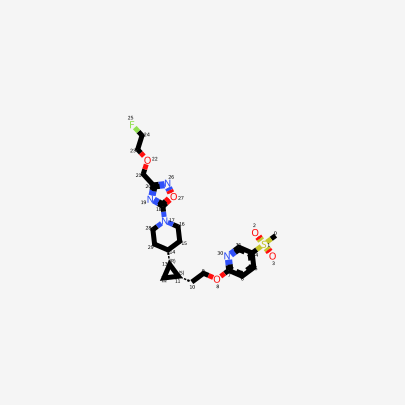 CS(=O)(=O)c1ccc(OCC[C@@H]2C[C@@H]2C2CCN(c3nc(COCCF)no3)CC2)nc1